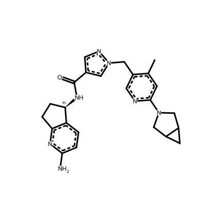 Cc1cc(N2CC3CC3C2)ncc1Cn1cc(C(=O)N[C@@H]2CCc3nc(N)ccc32)cn1